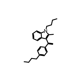 C=C(c1ccc(CCCC)cc1)c1c(C)n(CCCC)c2ccccc12